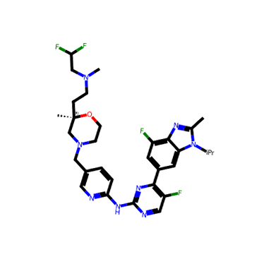 Cc1nc2c(F)cc(-c3nc(Nc4ccc(CN5CCO[C@](C)(CCN(C)CC(F)F)C5)cn4)ncc3F)cc2n1C(C)C